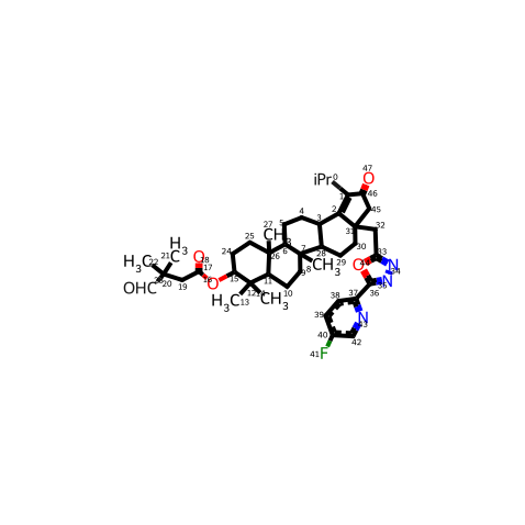 CC(C)C1=C2C3CCC4C(C)(CCC5C(C)(C)C(OC(=O)CC(C)(C)C=O)CCC54C)C3CCC2(Cc2nnc(-c3ccc(F)cn3)o2)CC1=O